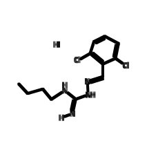 I.[H]/N=C(\NCCCC)NN=Cc1c(Cl)cccc1Cl